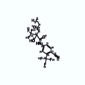 CC[S+]([O-])CC(O)(C(=O)Nc1ccc(C#N)c(C(F)(F)F)c1)C(F)(F)F